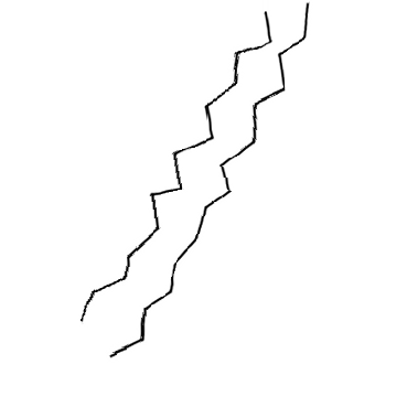 CCCCCCCCCCCCCC.CCCCCCCCCCCCCCC